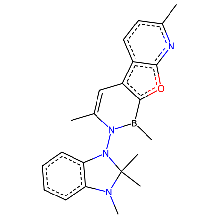 CB1c2oc3nc(C)ccc3c2C=C(C)N1N1c2ccccc2N(C)C1(C)C